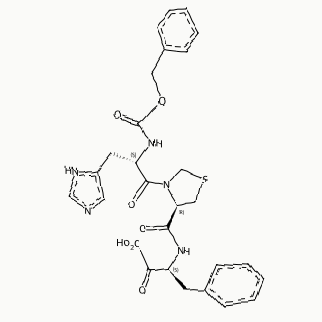 O=C(N[C@@H](Cc1cnc[nH]1)C(=O)N1CSC[C@H]1C(=O)N[C@@H](Cc1ccccc1)C(=O)C(=O)O)OCc1ccccc1